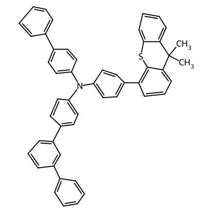 CC1(C)c2ccccc2Sc2c(-c3ccc(N(c4ccc(-c5ccccc5)cc4)c4ccc(-c5cccc(-c6ccccc6)c5)cc4)cc3)cccc21